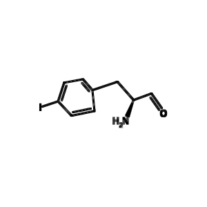 N[C@H](C=O)Cc1ccc(I)cc1